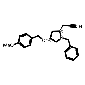 C#CC[C@@H]1C[C@@H](OCc2ccc(OC)cc2)CN1Cc1ccccc1